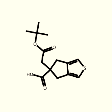 CC(C)(C)OC(=O)CC1(C(=O)O)Cc2cscc2C1